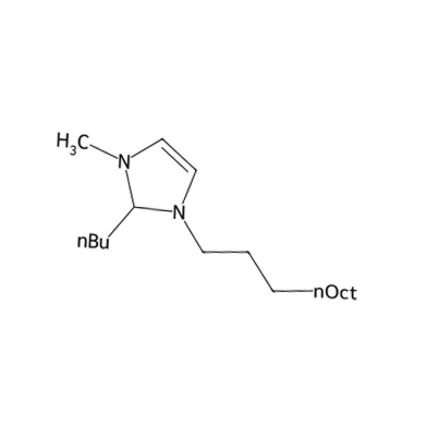 CCCCCCCCCCCN1C=CN(C)C1CCCC